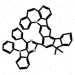 CC1(C)c2ccccc2-c2c1cc(-c1nc(-c3ccccc3)c3c(n1)c1ccccc1n3-c1ccccc1)c1cc3c(cc21)c1cccc2c1n3-c1ccccc1C=C2